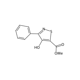 COC(=O)c1snc(-c2ccccc2)c1O